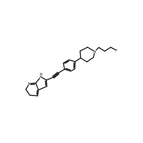 FCCCN1CCC(c2ccc(C#Cc3cc4c([nH]3)=NCCC=4)cc2)CC1